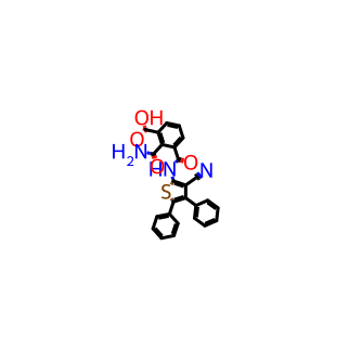 N#Cc1c(NC(=O)c2cccc(C(=O)O)c2C(N)=O)sc(-c2ccccc2)c1-c1ccccc1